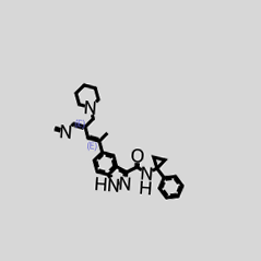 C=N/C=C(\C=C(/C)c1ccc2[nH]nc(C(=O)NC3(c4ccccc4)CC3)c2c1)CN1CCCCC1